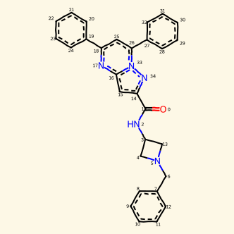 O=C(NC1CN(Cc2ccccc2)C1)c1cc2nc(-c3ccccc3)cc(-c3ccccc3)n2n1